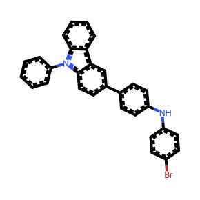 Brc1ccc(Nc2ccc(-c3ccc4c(c3)c3ccccc3n4-c3ccccc3)cc2)cc1